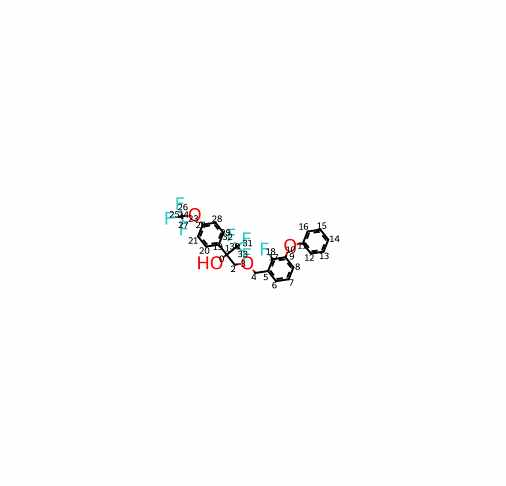 OC(COCc1cccc(Oc2ccccc2)c1F)(c1ccc(OC(F)(F)F)cc1)C(F)(F)F